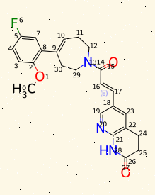 COc1ccc(F)cc1C1=CCCN(C(=O)/C=C/c2cnc3c(c2)CCC(=O)N3)CC1